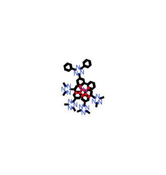 Cc1nc(C)nc(-c2ccc3c(c2)c2cc(-c4nc(C)nc(C)n4)ccc2n3-c2ccccc2-c2cc(-c3nc(-c4ccccc4)nc(-c4ccccc4)n3)ccc2-n2c3ccc(-c4nc(C)nc(C)n4)cc3c3cc(-c4nc(C)nc(C)n4)ccc32)n1